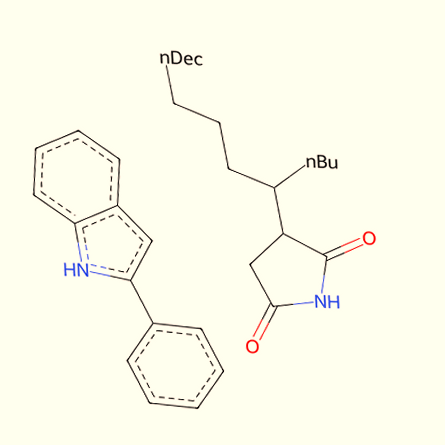 CCCCCCCCCCCCCC(CCCC)C1CC(=O)NC1=O.c1ccc(-c2cc3ccccc3[nH]2)cc1